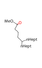 CCCCCCCC(CCCCCCC)CCCC(=O)OC